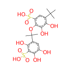 CC(C)(C)c1cc(S(=O)(=O)O)c(OC(C)(C)c2cc(O)c(O)c(S(=O)(=O)O)c2O)c(O)c1O